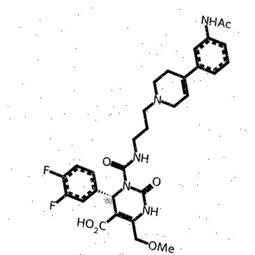 COCC1=C(C(=O)O)[C@H](c2ccc(F)c(F)c2)N(C(=O)NCCCN2CC=C(c3cccc(NC(C)=O)c3)CC2)C(=O)N1